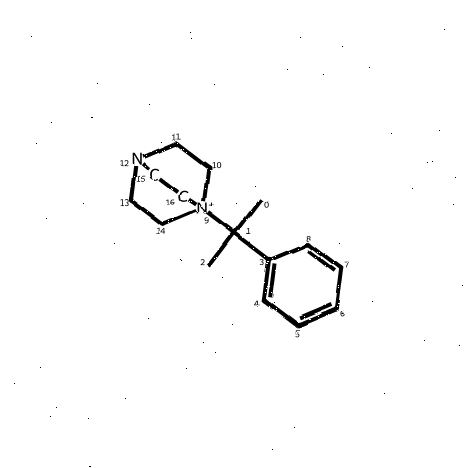 CC(C)(c1ccccc1)[N+]12CCN(CC1)CC2